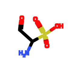 NC(C=O)S(=O)(=O)O